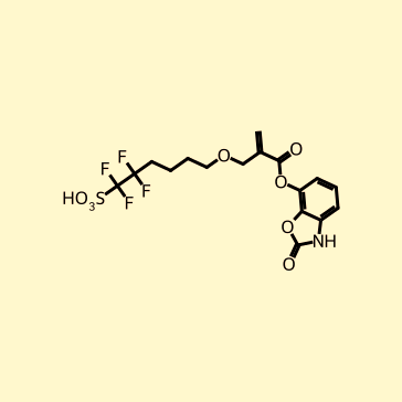 C=C(COCCCCC(F)(F)C(F)(F)S(=O)(=O)O)C(=O)Oc1cccc2[nH]c(=O)oc12